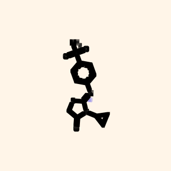 NS(=O)(=O)c1ccc(/N=C2\SCC(=O)N2C2CC2)cc1